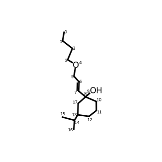 CCCCOCC=CC1(O)CCCC(C(C)C)C1